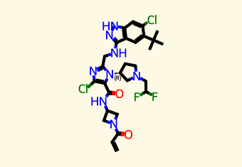 C=CC(=O)N1CC(NC(=O)c2c(Cl)nc(CNc3n[nH]c4cc(Cl)c(C(C)(C)C)cc34)n2[C@@H]2CCN(CC(F)F)C2)C1